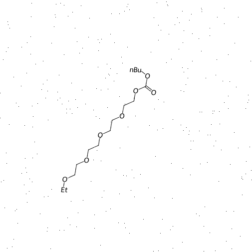 CCCCOC(=O)OCCOCCOCCOCCOCC